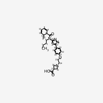 CCCCN(C(=O)C1C=CC=CC1F)c1nnc(-c2ccc(OCCN3CC(C(=O)O)C3)cc2)s1